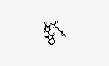 C=CCCPC(CC)Oc1cc(N2C(=O)C3C=CCCC3C2=O)c(F)cc1Cl